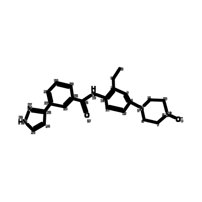 CCc1cc(N2CC[S+]([O-])CC2)ccc1NC(=O)c1cccc(-c2cc[nH]n2)c1